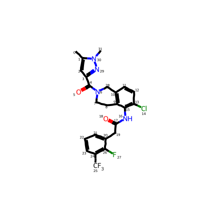 Cc1cc(C(=O)N2CCc3c(ccc(Cl)c3NC(=O)Cc3cccc(C(F)(F)F)c3F)C2)nn1C